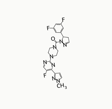 Cn1ccc(-c2nc(N3CCN(C(=O)N4N=CCC4c4cc(F)cc(F)c4)CC3)ncc2F)n1